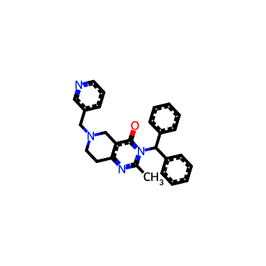 Cc1nc2c(c(=O)n1C(c1ccccc1)c1ccccc1)CN(Cc1cccnc1)CC2